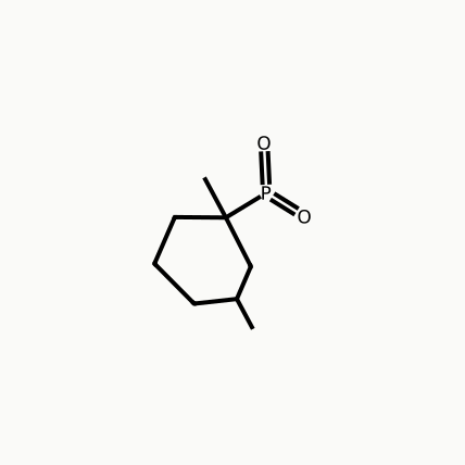 CC1CCCC(C)(P(=O)=O)C1